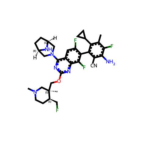 Cc1c(F)c(N)c(C#N)c(-c2c(F)cc3c(N4C[C@H]5CC[C@@H](C4)N5)nc(OC[C@]4(C)CN(C)CC[C@@H]4CF)nc3c2F)c1C1CC1